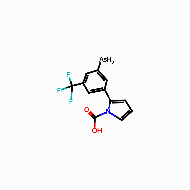 O=C(O)n1cccc1-c1cc([AsH2])cc(C(F)(F)F)c1